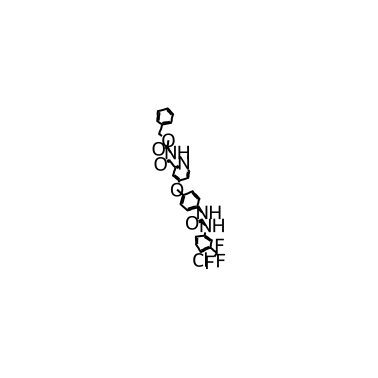 O=C(Nc1ccc(Oc2ccnc(C(=O)NC(=O)OCc3ccccc3)c2)cc1)Nc1ccc(Cl)c(C(F)(F)F)c1